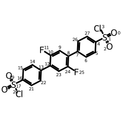 O=S(=O)(Cl)c1ccc(-c2cc(F)c(-c3ccc(S(=O)(=O)Cl)cc3)cc2F)cc1